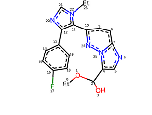 CCOC(O)c1cnc2ccc(-c3c(-c4ccc(F)cc4)ncn3CC)nn12